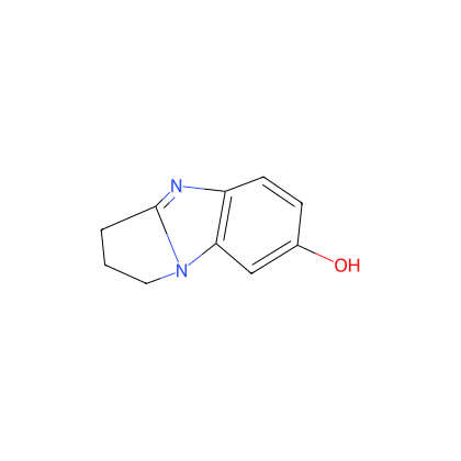 Oc1ccc2nc3n(c2c1)CCC3